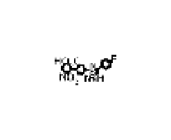 O=C(O)c1cc(-c2nc(-c3ccc(F)cc3)cs2)ccc1-c1ccccc1[N+](=O)[O-].[NaH]